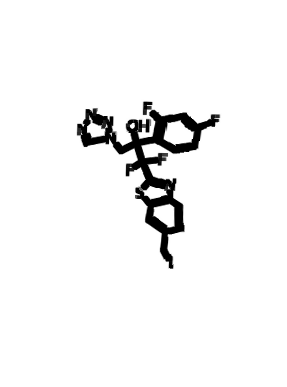 OC(Cn1cnnn1)(c1ccc(F)cc1F)C(F)(F)c1nc2ccc(CI)cc2s1